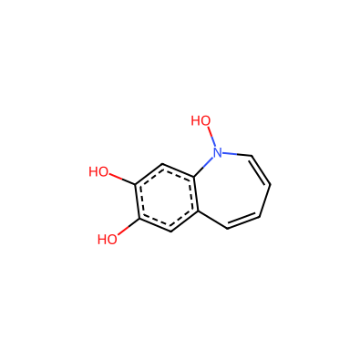 Oc1cc2c(cc1O)N(O)C=CC=C2